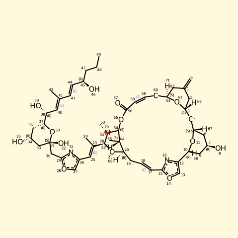 C=C1C[C@@H]2C[C@@H]3C[C@@H](O)C[C@@H](O3)c3coc(n3)/C=C/C[C@H]3O[C@@H](/C(C)=C/c4coc(C[C@]5(O)C[C@H](O)C[C@H]([C@H](O)/C=C(C)/C=C/[C@H](O)CCC)O5)n4)[C@H](C)[C@@H](OC(=O)/C=C\C[C@@H](C1)O2)[C@H]3C